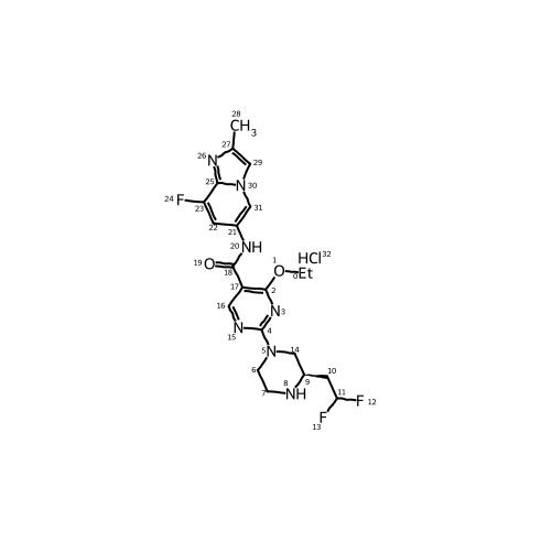 CCOc1nc(N2CCN[C@H](CC(F)F)C2)ncc1C(=O)Nc1cc(F)c2nc(C)cn2c1.Cl